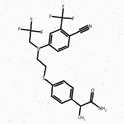 CC(C(N)=O)c1ccc(SCCN(CC(F)(F)F)c2ccc(C#N)c(C(F)(F)F)c2)cc1